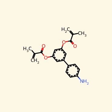 C=C(C)C(=O)Oc1cc(OC(=O)C(=C)C)cc(-c2ccc(N)cc2)c1